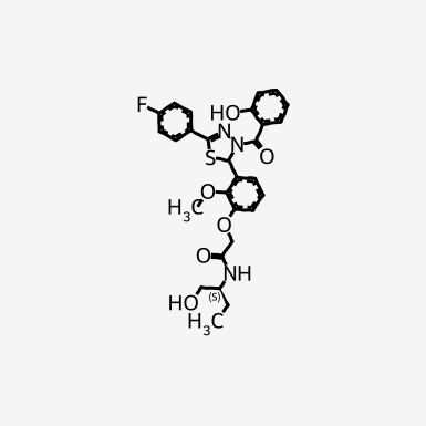 CC[C@@H](CO)NC(=O)COc1cccc(C2SC(c3ccc(F)cc3)=NN2C(=O)c2ccccc2O)c1OC